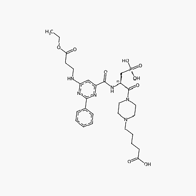 CCOC(=O)CCNc1cc(C(=O)N[C@@H](CP(=O)(O)O)C(=O)N2CCN(CCCCC(=O)O)CC2)nc(-c2ccccc2)n1